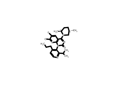 CCCc1ccnc(C(C)C)c1-n1c(=O)nc(N2C[C@@H](C)CC[C@@H]2C)c2cc(F)c(Cl)nc21